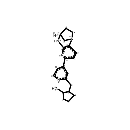 NC1CCCC1Cc1cc(-c2ccc3c(n2)N[C@H]2CCN3C2)ccn1